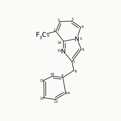 FC(F)(F)c1cccn2cc(Cc3ccccc3)nc12